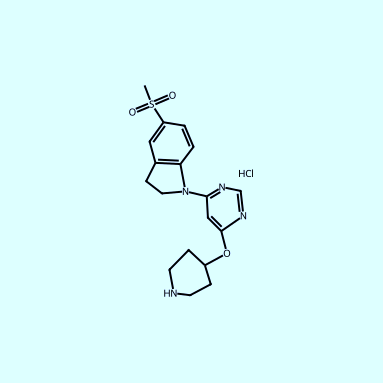 CS(=O)(=O)c1ccc2c(c1)CCN2c1cc(OC2CCNCC2)ncn1.Cl